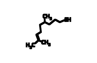 CC(C)=CCCC(C)CCCS